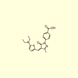 CCN(CC)c1ccc(C=C2C(=O)N(c3ccc(C(=O)O)cc3)N=C2C)s1